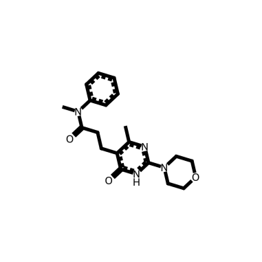 Cc1nc(N2CCOCC2)[nH]c(=O)c1CCC(=O)N(C)c1ccccc1